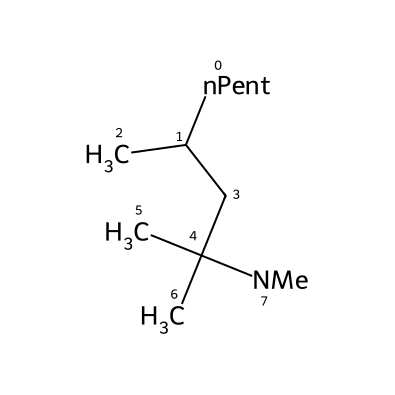 CCCCCC(C)CC(C)(C)NC